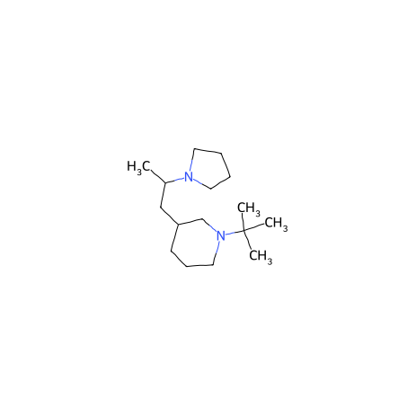 CC(CC1CCCN(C(C)(C)C)C1)N1CCCC1